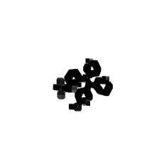 COc1ccc(C(c2cccnc2)N(c2cccnc2)c2cccc(NS(C)(=O)=O)n2)cn1